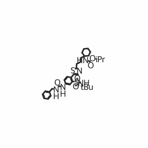 CC(C)OC(=O)NC1(CCCc2ncc(-c3ccc(NC(=O)NCc4ccccc4)cc3S(=O)(=O)NC(C)(C)C)s2)CCCCC1